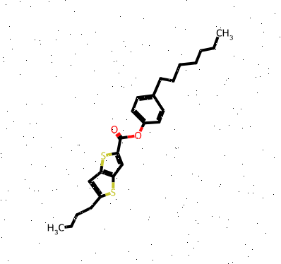 CCCCCCCc1ccc(OC(=O)c2cc3sc(CCCC)cc3s2)cc1